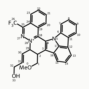 COCC1c2c(n3c4ccccc4c4cccc2c43)-c2c3ccccc3c(C(F)(F)F)n[n+]2C1/C=C/CO